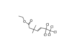 CCOC(=O)CC(C)(C)C=CC(Cl)(Cl)C(Cl)(Cl)Cl